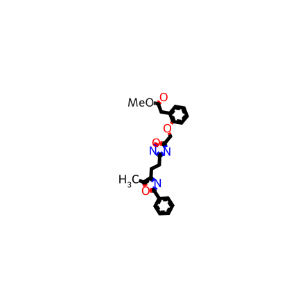 COC(=O)Cc1ccccc1OCc1nc(CCc2nc(-c3ccccc3)oc2C)no1